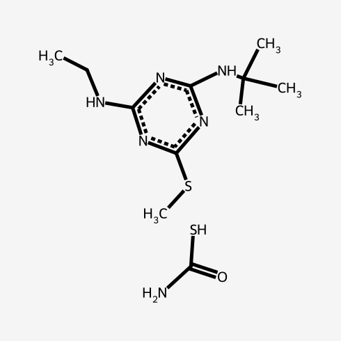 CCNc1nc(NC(C)(C)C)nc(SC)n1.NC(=O)S